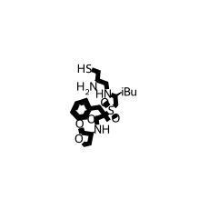 CC[C@H](C)C(CS(=O)(=O)C(C)(Cc1ccccc1)C(=O)N[C@@H]1CCOC1=O)NCC(N)CS